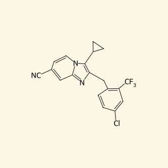 N#Cc1ccn2c(C3CC3)c(Cc3ccc(Cl)cc3C(F)(F)F)nc2c1